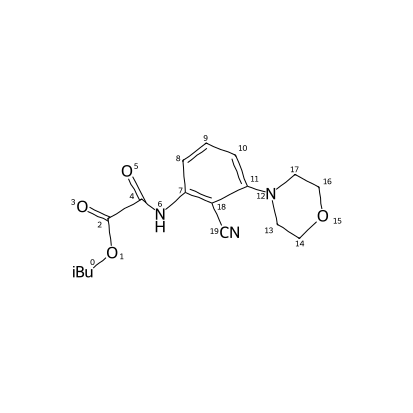 CCC(C)OC(=O)C(=O)Nc1cccc(N2CCOCC2)c1C#N